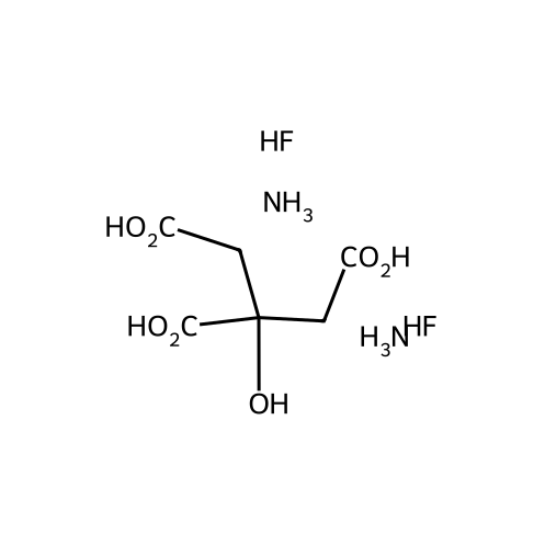 F.F.N.N.O=C(O)CC(O)(CC(=O)O)C(=O)O